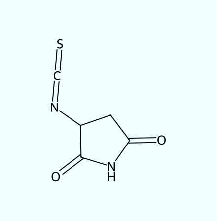 O=C1CC(N=C=S)C(=O)N1